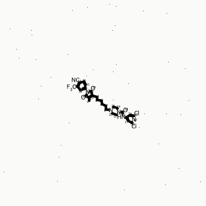 CC1=C(CCCCCCN2CCN(C(=O)Nc3cc(Cl)nc(Cl)c3)CC2)C(=O)N(c2ccc(C#N)c(C(F)(F)F)c2)C1=O